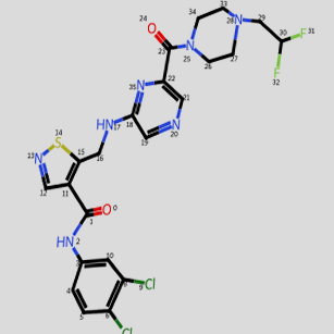 O=C(Nc1ccc(Cl)c(Cl)c1)c1cnsc1CNc1cncc(C(=O)N2CCN(CC(F)F)CC2)n1